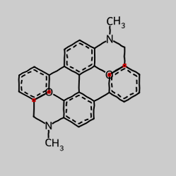 CN1CCOc2c1ccc(-c1ccccc1)c2-c1c(-c2ccccc2)ccc2c1OCCN2C